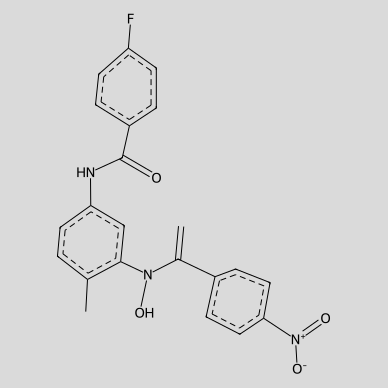 C=C(c1ccc([N+](=O)[O-])cc1)N(O)c1cc(NC(=O)c2ccc(F)cc2)ccc1C